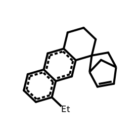 CCc1cccc2cc3c(cc12)C1(CCC3)CC2C=CC1C2